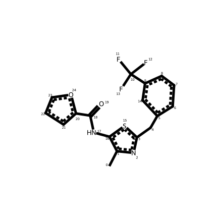 Cc1nc(Cc2cccc(C(F)(F)F)c2)sc1NC(=O)c1ccco1